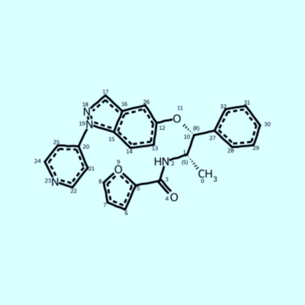 C[C@H](NC(=O)c1ccco1)[C@H](Oc1ccc2c(cnn2-c2ccncc2)c1)c1ccccc1